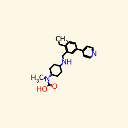 CCc1ccc(-c2ccncc2)cc1CNC1CCC(N(C)C(=O)O)CC1